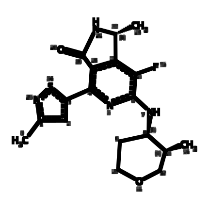 Cc1cc(-c2nc(N[C@@H]3CCOC[C@@H]3C)c(F)c3c2C(=O)N[C@@H]3C)sn1